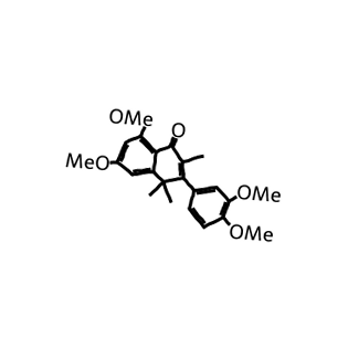 COc1cc(OC)c2c(c1)C(C)(C)C(c1ccc(OC)c(OC)c1)=C(C)C2=O